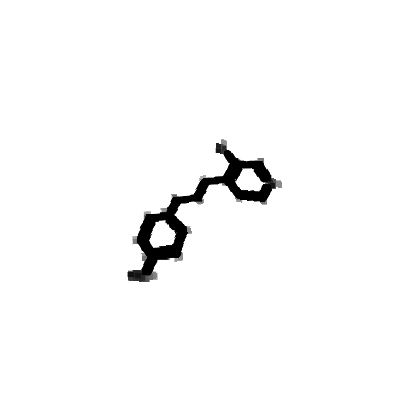 CCc1cnccc1CCCc1ccc(C(C)(C)C)cc1